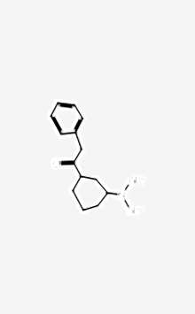 CCCN(CCC)C1CCCC(C(=O)Cc2ccccc2)C1